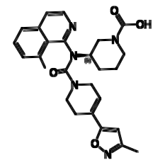 Cc1cc(C2=CCN(C(=O)N(c3nccc4cccc(C)c34)[C@@H]3CCCN(C(=O)O)C3)CC2)on1